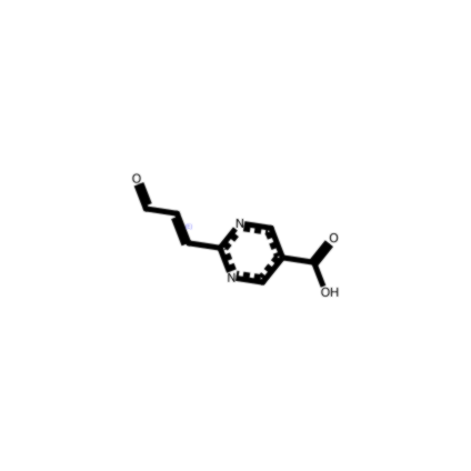 O=C/C=C/c1ncc(C(=O)O)cn1